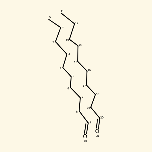 CCCCCCCCCC=O.CCCCCCCCCC=O